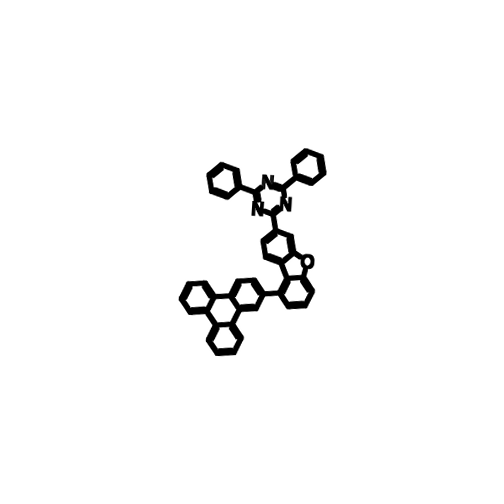 c1ccc(-c2nc(-c3ccccc3)nc(-c3ccc4c(c3)oc3cccc(-c5ccc6c7ccccc7c7ccccc7c6c5)c34)n2)cc1